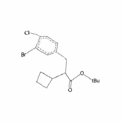 CC(C)(C)OC(=O)C(Cc1ccc(Cl)c(Br)c1)C1CCC1